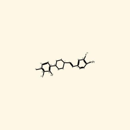 CCCc1ccc(/C=C/C2CCC(c3ccc(C)c(F)c3F)CC2)cc1F